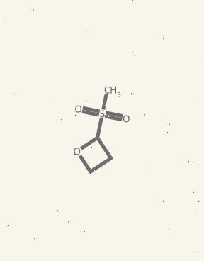 CS(=O)(=O)C1C[CH]O1